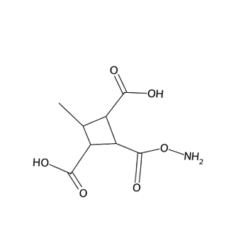 CC1C(C(=O)O)C(C(=O)ON)C1C(=O)O